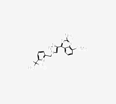 COc1cccc2c(-c3cn(Cc4cccc(C(C)(O)C(F)(F)F)n4)nn3)nc(N)nc12